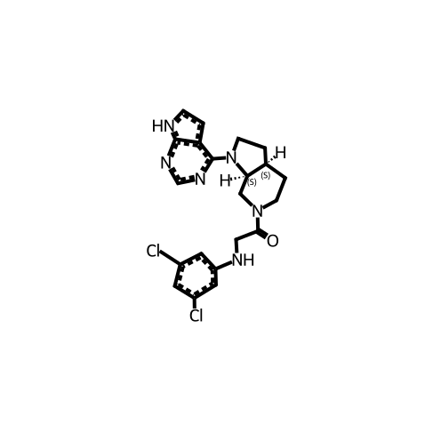 O=C(CNc1cc(Cl)cc(Cl)c1)N1CC[C@@H]2CCN(c3ncnc4[nH]ccc34)[C@@H]2C1